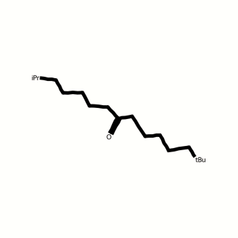 CC(C)CCCCCC(=O)CCCCCC(C)(C)C